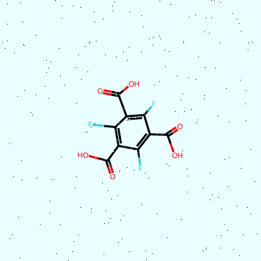 O=C(O)c1c(F)c(C(=O)O)c(F)c(C(=O)O)c1F